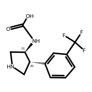 O=C(O)N[C@@H]1CNC[C@H]1c1cccc(C(F)(F)F)c1